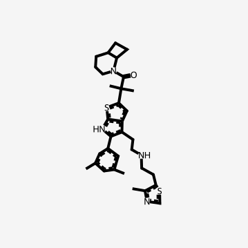 Cc1cc(C)cc(-c2[nH]c3sc(C(C)(C)C(=O)N4CCCC5CCC54)cc3c2CCNCCc2scnc2C)c1